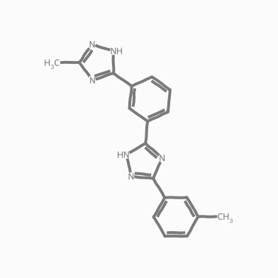 Cc1cccc(-c2n[nH]c(-c3cccc(-c4nc(C)n[nH]4)c3)n2)c1